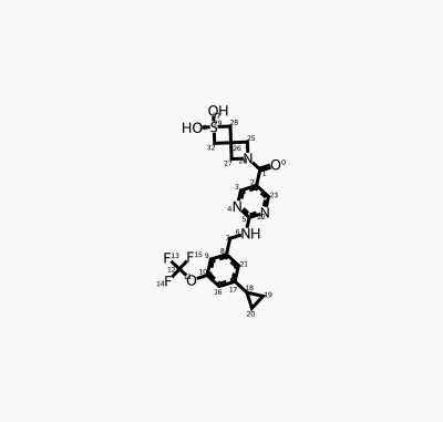 O=C(c1cnc(NCc2cc(OC(F)(F)F)cc(C3CC3)c2)nc1)N1CC2(C1)CS(O)(O)C2